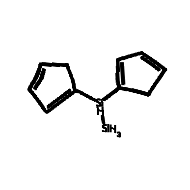 [SiH3][SiH](C1=CC=CC1)C1=CC=CC1